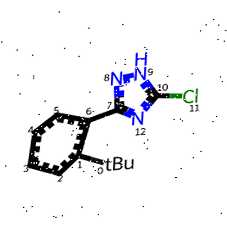 CC(C)(C)c1ccccc1-c1n[nH]c(Cl)n1